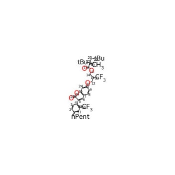 CCCCCc1ccc(-c2cc3ccc(OCC(COC(=O)C(C)(CC(C)(C)C)C(C)(C)C)C(F)(F)F)cc3oc2=O)c(C(F)(F)F)c1